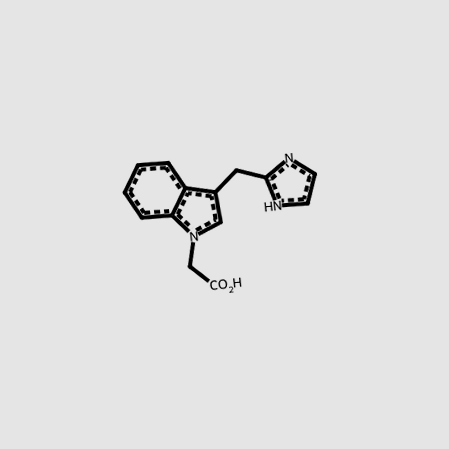 O=C(O)Cn1cc(Cc2ncc[nH]2)c2ccccc21